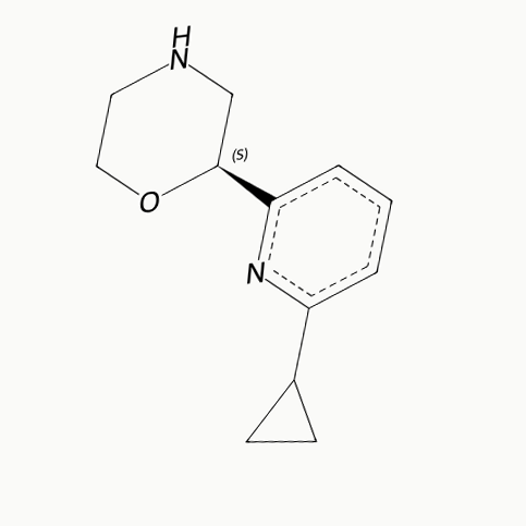 c1cc(C2CC2)nc([C@@H]2CNCCO2)c1